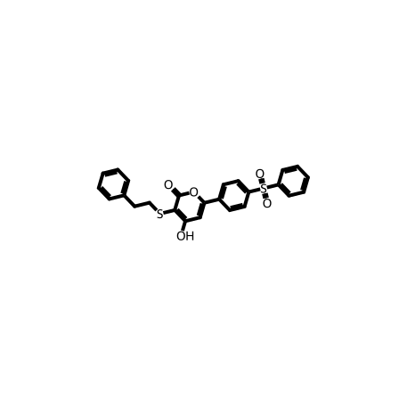 O=c1oc(-c2ccc(S(=O)(=O)c3ccccc3)cc2)cc(O)c1SCCc1ccccc1